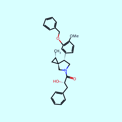 COc1ccc([C@@H]2CN(C(=O)[C@@H](O)Cc3ccccc3)C[C@]23C[C@@H]3C)cc1OCc1ccccc1